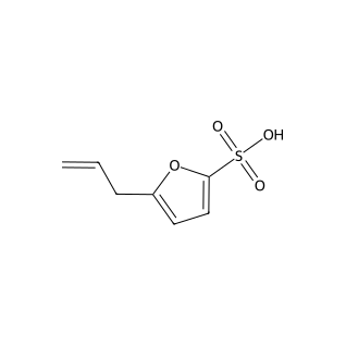 C=CCc1ccc(S(=O)(=O)O)o1